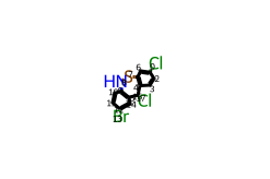 Clc1ccc2c(c1)SNc1ccc(Br)cc1C2Cl